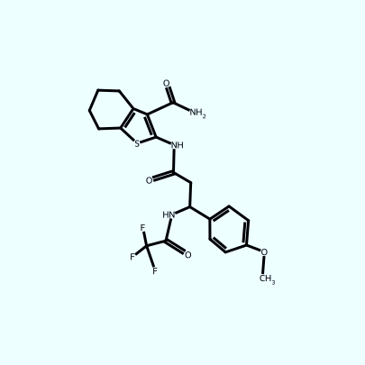 COc1ccc(C(CC(=O)Nc2sc3c(c2C(N)=O)CCCC3)NC(=O)C(F)(F)F)cc1